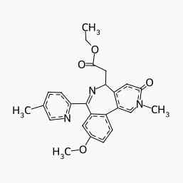 CCOC(=O)CC1N=C(c2ccc(C)cn2)c2cc(OC)ccc2-c2cn(C)c(=O)cc21